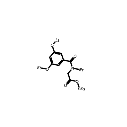 CCCCOC(=O)CN(C(=O)c1cc(OCC)cc(OCC)c1)C(C)C